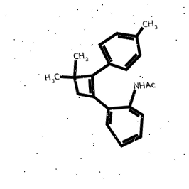 CC(=O)Nc1ccccc1C1=C(c2ccc(C)cc2)C(C)(C)C1